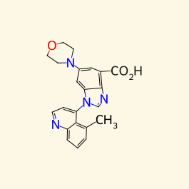 Cc1cccc2nccc(-n3cnc4c(C(=O)O)cc(N5CCOCC5)cc43)c12